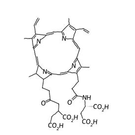 C=CC1=C(C)C2=NC1=CC1=NC(=CC3=NC(=CC4=NC(=C2)C(C=C)=C4C)C(C)C3CCC(=O)CC(CC(=O)O)C(=O)O)C(CCC(=O)N[C@@H](CC(=O)O)C(=O)O)=C1C